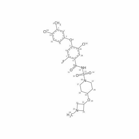 Cc1cc(Oc2cc(F)c(C(=O)NS(=O)(=O)N3CCC(OC4CN(C)C4)CC3)cc2Cl)ccc1Cl